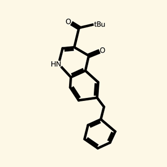 CC(C)(C)C(=O)c1c[nH]c2ccc(Cc3ccccc3)cc2c1=O